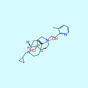 Cc1cccnc1CCN1CC[C@]23CCN(CC4CC4)[C@H](Cc4ccc(O)cc42)[C@]3(O)CC1